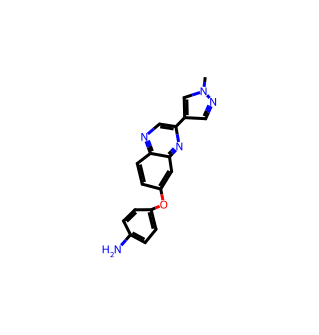 Cn1cc(-c2cnc3ccc(Oc4ccc(N)cc4)cc3n2)cn1